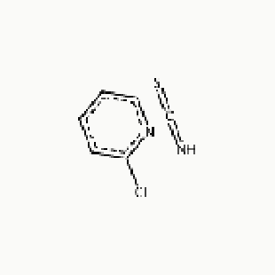 Clc1ccccn1.N=C=S